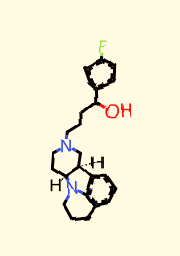 OC(CCCN1CC[C@H]2[C@@H](C1)c1cccc3c1N2CCC3)c1ccc(F)cc1